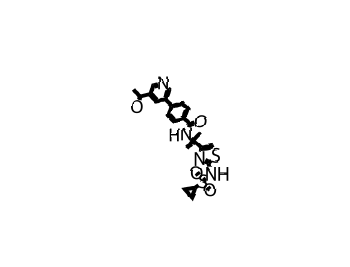 CC(=O)c1cncc(-c2ccc(C(=O)NC(C)(C)c3csc(NS(=O)(=O)C4CC4)n3)cc2)c1